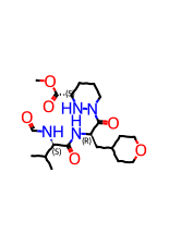 COC(=O)[C@@H]1CCCN(C(=O)[C@@H](CC2CCOCC2)NC(=O)[C@@H](NC=O)C(C)C)N1